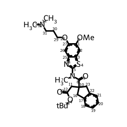 COc1cc2sc(N(C)C(=O)C3(CC(=O)OC(C)(C)C)Cc4ccccc4C3)nc2cc1OCCCN(C)C